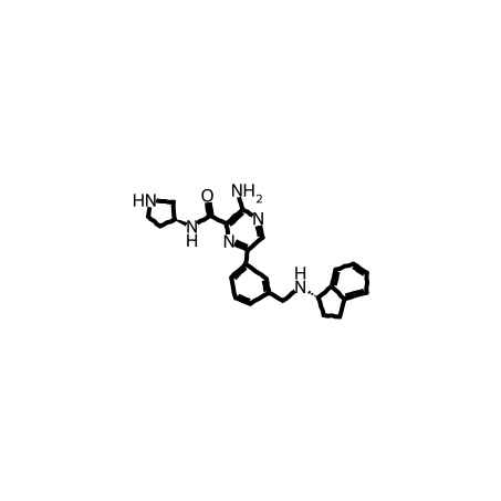 Nc1ncc(-c2cccc(CN[C@H]3CCc4ccccc43)c2)nc1C(=O)N[C@H]1CCNC1